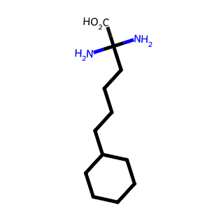 NC(N)(CCCCC1CCCCC1)C(=O)O